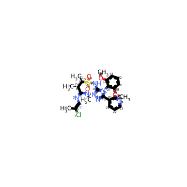 C=N/C(=N\C=C(/C)Cl)[C@H](C)[C@@H](C)S(=O)(=O)Nc1nnc(-c2cccnc2)n1-c1c(OC)cccc1OC